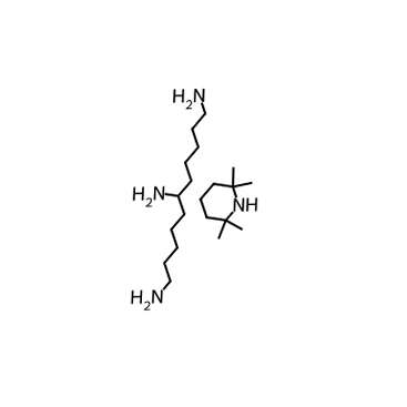 CC1(C)CCCC(C)(C)N1.NCCCCCC(N)CCCCCN